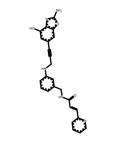 Nc1nc2c(O)cc(C#CCNc3cccc(CNC(=O)/C=C/c4ccccn4)c3)cc2s1